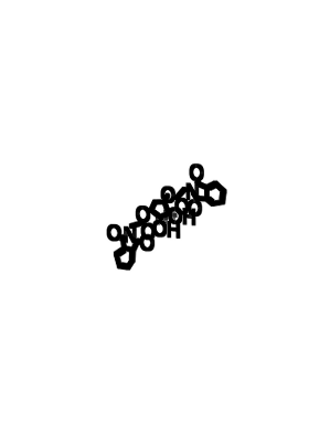 O=C(CN1C(=O)c2ccccc2C1=O)OC1CC(OC(=O)CN2C(=O)c3ccccc3C2=O)[C@H](O)[C@@H]1O